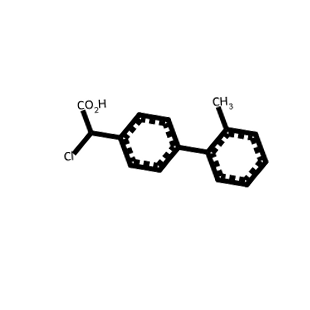 Cc1ccccc1-c1ccc(C(Cl)C(=O)O)cc1